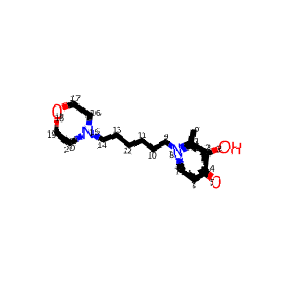 Cc1c(O)c(=O)ccn1CCCCCCN1CCOCC1